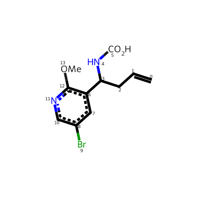 C=CCC(NC(=O)O)c1cc(Br)cnc1OC